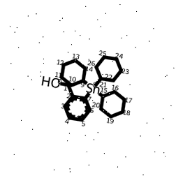 OCc1cccc[c]1[Sn]([CH]1CCCCC1)([CH]1CCCCC1)[CH]1CCCCC1